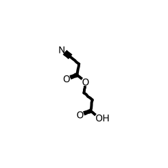 N#CCC(=O)OCCC(=O)O